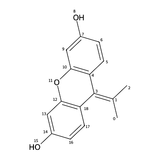 CC(C)=C1c2ccc(O)cc2Oc2cc(O)ccc21